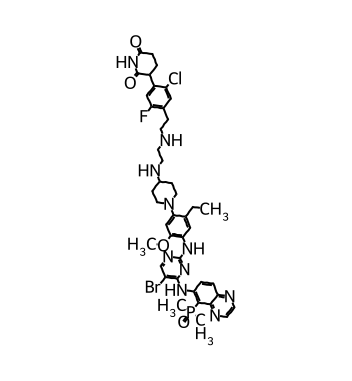 CCc1cc(Nc2ncc(Br)c(Nc3ccc4nccnc4c3P(C)(C)=O)n2)c(OC)cc1N1CCC(NCCNCCc2cc(Cl)c(C3CCC(=O)NC3=O)cc2F)CC1